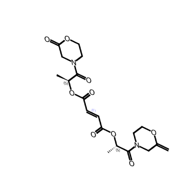 C=C1CN(C(=O)[C@H](C)OC(=O)/C=C/C(=O)O[C@@H](C)C(=O)N2CCOC(=O)C2)CCO1